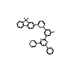 Cc1cc(-c2nc(C3=CCCC=C3)cc(-c3ccccc3)n2)cc(C2C=CC=C(c3ccc4c(c3)C(C)(C)c3ccccc3-4)C2)c1